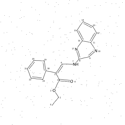 CCOC(=O)C(=CNc1cnc2ccccc2n1)c1ccccc1